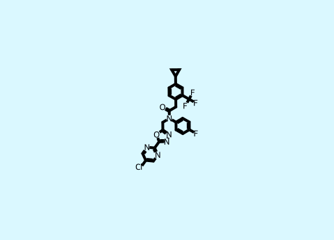 O=C(Cc1ccc(C2CC2)cc1C(F)(F)F)N(Cc1nnc(-c2ncc(Cl)cn2)o1)c1ccc(F)cc1